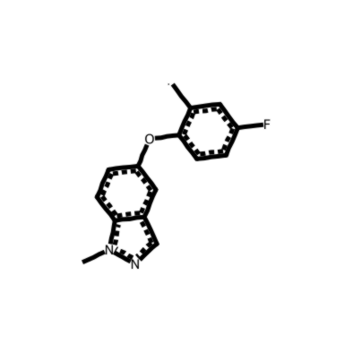 [CH2]c1cc(F)ccc1Oc1ccc2c(cnn2C)c1